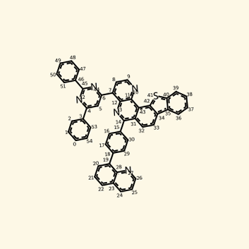 c1ccc(-c2cc(-c3ccnc4c3nc(-c3ccc(-c5cccc6cccnc56)cc3)c3ccc5c6ccccc6sc5c34)nc(-c3ccccc3)n2)cc1